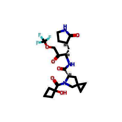 O=C1NCC[C@H]1C[C@H](NC(=O)[C@@H]1CC2(CC2)CN1C(=O)C1(O)CCC1)C(=O)COC(F)(F)F